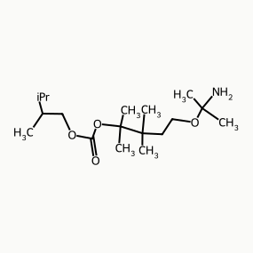 CC(C)C(C)COC(=O)OC(C)(C)C(C)(C)CCOC(C)(C)N